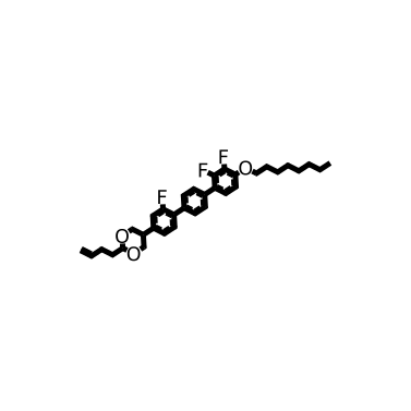 C=CCCC1OCC(c2ccc(-c3ccc(-c4ccc(OCCCCCCCC)c(F)c4F)cc3)c(F)c2)CO1